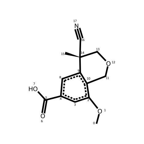 COc1cc(C(=O)O)cc2c1COC[C@@]2(C)C#N